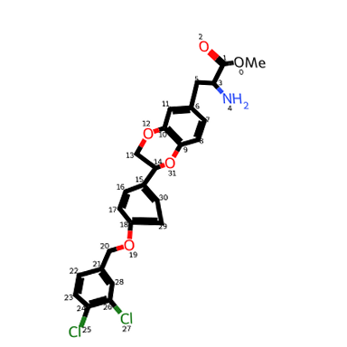 COC(=O)C(N)Cc1ccc2c(c1)OCC(c1ccc(OCc3ccc(Cl)c(Cl)c3)cc1)O2